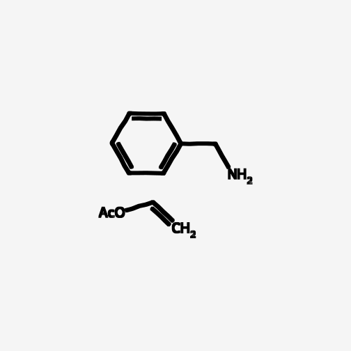 C=COC(C)=O.NCc1ccccc1